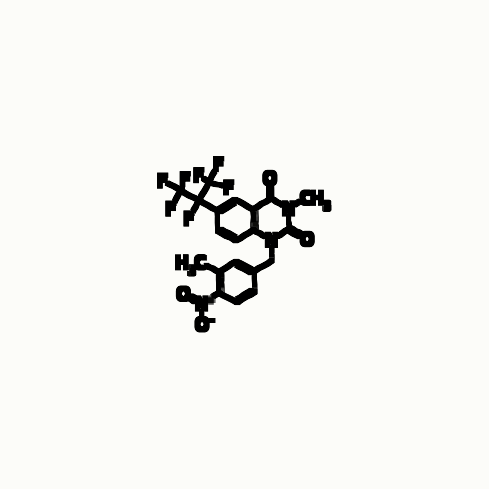 Cc1cc(Cn2c(=O)n(C)c(=O)c3cc(C(F)(C(F)(F)F)C(F)(F)F)ccc32)ccc1[N+](=O)[O-]